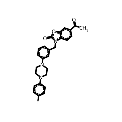 CC(=O)c1ccc2c(c1)oc(=O)n2Cc1cccc(N2CCN(c3ccc(F)cc3)CC2)c1